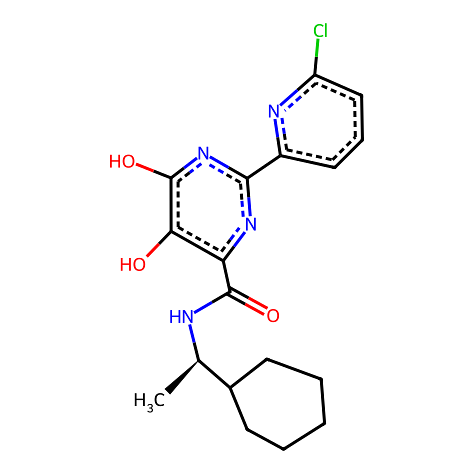 C[C@@H](NC(=O)c1nc(-c2cccc(Cl)n2)nc(O)c1O)C1CCCCC1